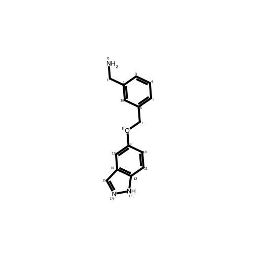 NCc1cccc(COc2ccc3[nH]ncc3c2)c1